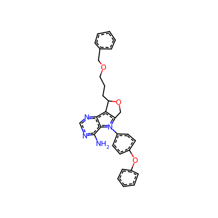 Nc1ncnc2c3c(n(-c4ccc(Oc5ccccc5)cc4)c12)COC3CCCOCc1ccccc1